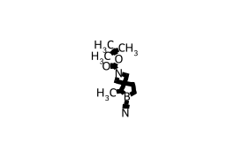 CC1B(C#N)CCC12CN(C(=O)OC(C)(C)C)C2